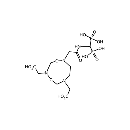 O=C(O)CN1CCN(CC(=O)O)CCN(CC(=O)NC(P(=O)(O)O)P(=O)(O)O)CC1